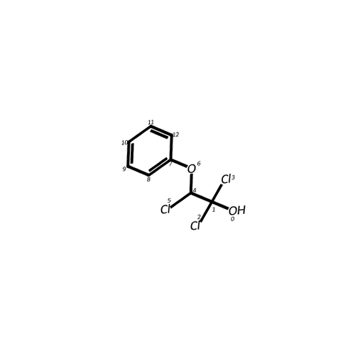 OC(Cl)(Cl)C(Cl)Oc1ccccc1